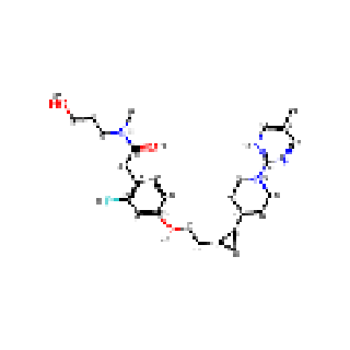 Cc1cnc(N2CCC([C@H]3C[C@H]3CCOc3ccc(CC(=O)N(C)CCCO)c(F)c3)CC2)nc1